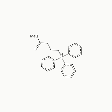 COC(=O)CCC[PH](c1ccccc1)(c1ccccc1)c1ccccc1